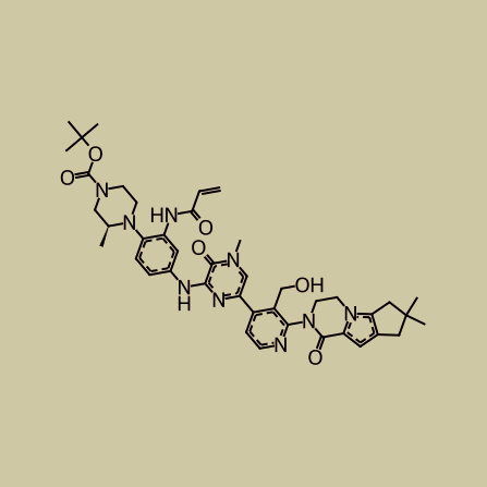 C=CC(=O)Nc1cc(Nc2nc(-c3ccnc(N4CCn5c(cc6c5CC(C)(C)C6)C4=O)c3CO)cn(C)c2=O)ccc1N1CCN(C(=O)OC(C)(C)C)C[C@@H]1C